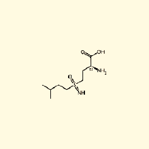 CC(C)CCS(=N)(=O)CC[C@H](N)C(=O)O